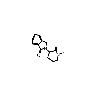 CN1CCCC(N2Cc3ccccc3C2=O)C1=O